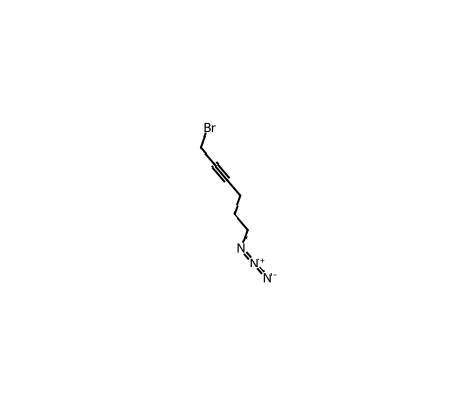 [N-]=[N+]=NCCCC#CCBr